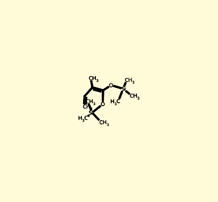 C=CC(C)=C(O[Si](C)(C)C)O[Si](C)(C)C